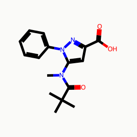 CN(C(=O)C(C)(C)C)c1cc(C(=O)O)nn1-c1ccccc1